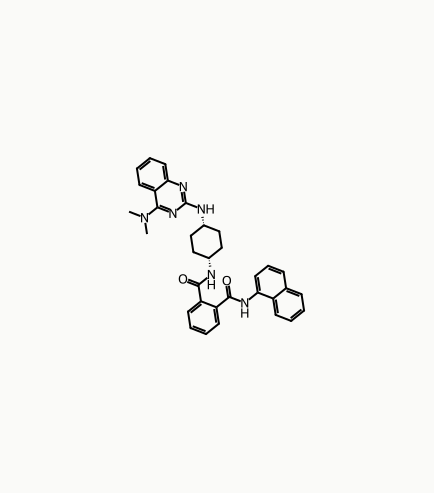 CN(C)c1nc(N[C@H]2CC[C@@H](NC(=O)c3ccccc3C(=O)Nc3cccc4ccccc34)CC2)nc2ccccc12